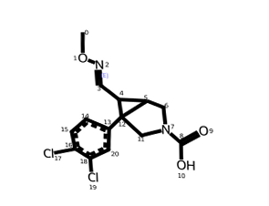 CO/N=C/C1C2CN(C(=O)O)CC12c1ccc(Cl)c(Cl)c1